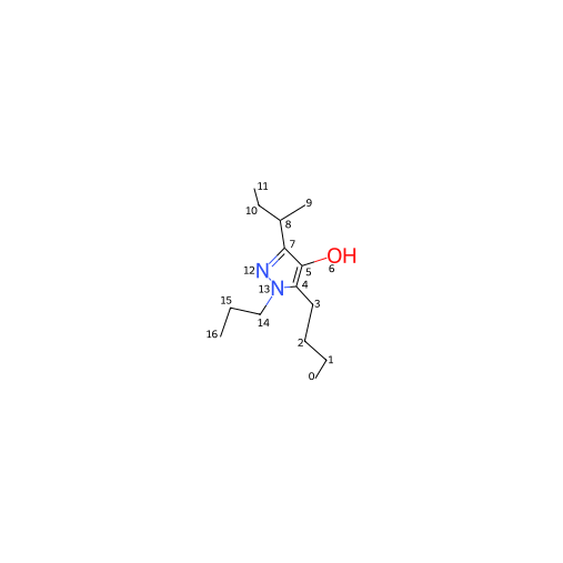 CCCCc1c(O)c(C(C)CC)nn1CCC